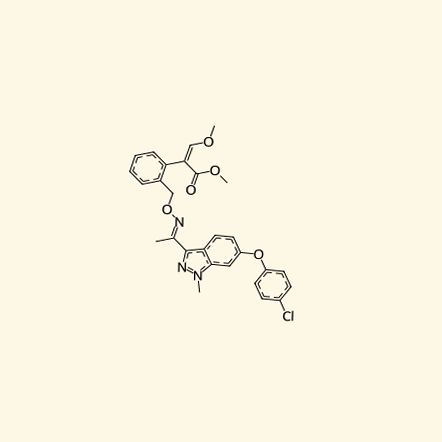 COC=C(C(=O)OC)c1ccccc1CON=C(C)c1nn(C)c2cc(Oc3ccc(Cl)cc3)ccc12